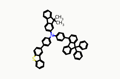 CC1(C)c2ccccc2-c2ccc(N(c3ccc(-c4ccc5sc6ccccc6c5c4)cc3)c3ccc(-c4cccc5c4-c4ccccc4C5(c4ccccc4)c4ccccc4)cc3)cc21